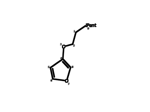 CCCC(C)CCOc1ccoc1